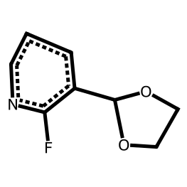 Fc1ncccc1C1OCCO1